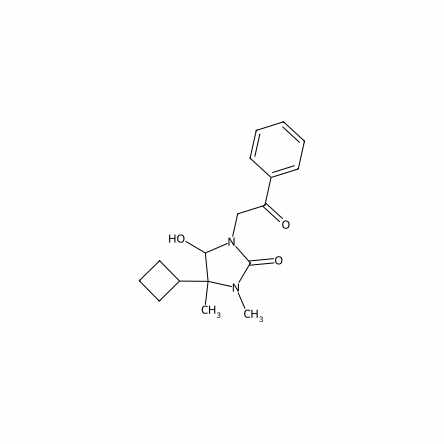 CN1C(=O)N(CC(=O)c2ccccc2)C(O)C1(C)C1CCC1